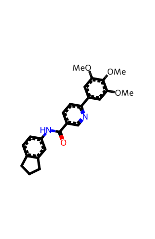 COc1cc(-c2ccc(C(=O)Nc3ccc4c(c3)CCC4)cn2)cc(OC)c1OC